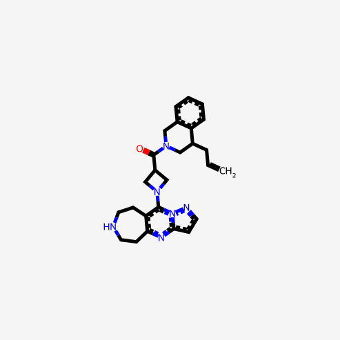 C=CCC1CN(C(=O)C2CN(c3c4c(nc5ccnn35)CCNCC4)C2)Cc2ccccc21